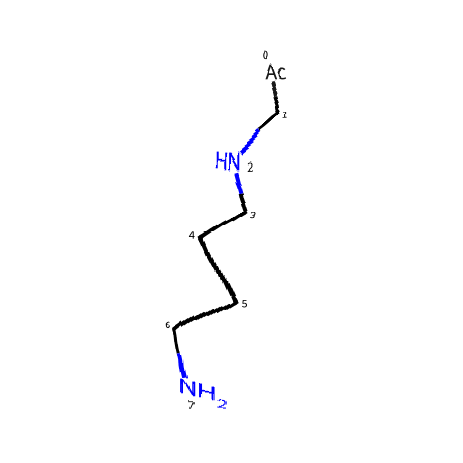 CC(=O)CNCCCCN